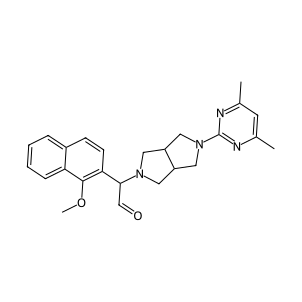 COc1c(C(C=O)N2CC3CN(c4nc(C)cc(C)n4)CC3C2)ccc2ccccc12